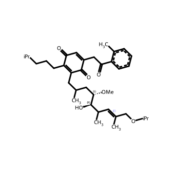 CO[C@@H](CC(C)CC1=C(CCCC(C)C)C(=O)C=C(CC(=O)c2ccccc2C)C1=O)[C@H](O)C(C)/C=C(\C)COC(C)C